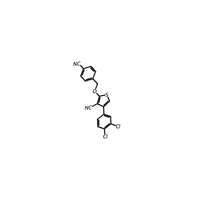 N#Cc1ccc(COc2scc(-c3ccc(Cl)c(Cl)c3)c2C#N)cc1